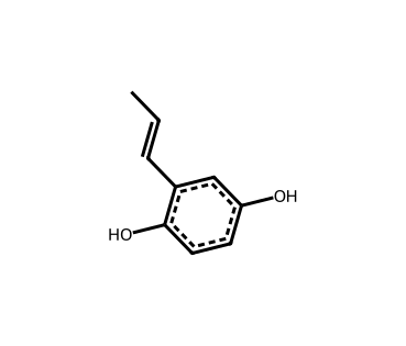 CC=Cc1cc(O)ccc1O